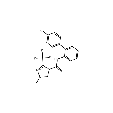 CN1CC(C(=O)Nc2ccccc2-c2ccc(Cl)cc2)C(C(F)(F)F)=N1